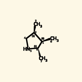 C[C@@H]1[C@H](C)CN[C@H]1C